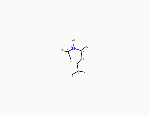 CC(C)CCC(C)N(C)C(C)C